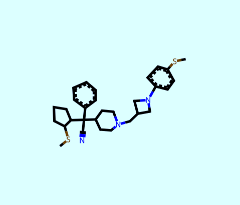 CSc1ccc(N2CC(CN3CCC(C(C#N)(c4ccccc4)C4CCCC4SC)CC3)C2)cc1